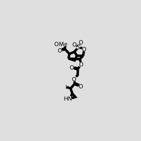 COC(=O)C1C2CC3C(OS(=O)(=O)C31)C2OC(=O)COC(=O)C(I)C1CN1